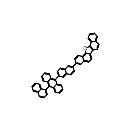 c1ccc2c(-c3c4ccccc4c(-c4ccc5cc(-c6ccc7c(ccc8c9ccc%10ccccc%10c9oc78)c6)ccc5c4)c4ccccc34)cccc2c1